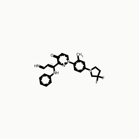 Cc1cc(N2CCC(F)(F)C2)ccc1-n1ccc(=O)c(/C(=C/C=N)Nc2ccccc2)n1